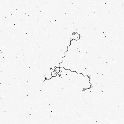 CCCC/C=C\C/C=C\CCCCCCCCC1(CCCCCCCC/C=C\C/C=C\CCCC)O[C@@H]2CC(CN(C)C)C[C@H]2O1